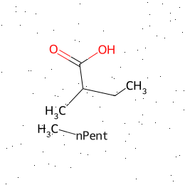 CCC(C)C(=O)O.CCCCCC